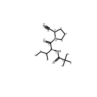 CCC(C)[C@H](NC(=O)C(C)(C)C)C(=O)N1CCCC1C#N